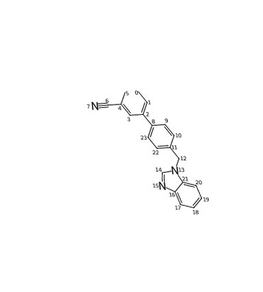 C/C=C(\C=C(/C)C#N)c1ccc(Cn2cnc3ccccc32)cc1